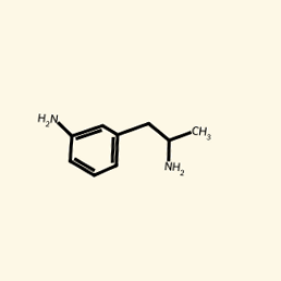 CC(N)Cc1cccc(N)c1